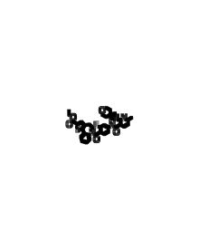 CCOC(=O)c1cc2c(s1)-c1ccccc1N(C(=O)c1ccc(NC(=O)c3ccc(C)nc3N3CC4(CCOCC4)C3)cc1F)CC2